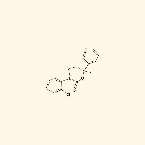 CC1(c2ccccc2)CCN(c2ccccc2Cl)C(=O)O1